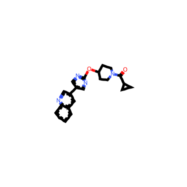 O=C(C1CC1)N1CCC(Oc2ncc(-c3cnc4ccccc4c3)cn2)CC1